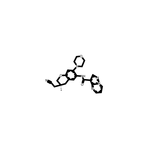 C[C@]1(CC#N)COc2cc(N3CCOCC3)c(NC(=O)c3cnn4cccnc34)cc2C1